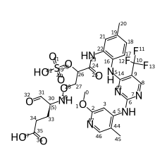 COc1cc(Nc2ncc(C(F)(F)F)c(Nc3ccc(C)cc3NC(=O)C(CON[C@H](C=O)CCC(=O)O)OS(=O)(=O)O)n2)c(C)cn1